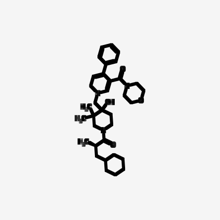 C[C@H](CC1CCCCC1)C(=O)N1CCC(O)(CN2C=C(C(=O)N3CCOCC3)C(c3ccccc3)=CC2)C(C)(C)C1